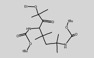 CCOC(C)(C)C(=O)C(NC(=O)OC(C)(C)C)C(C)(C)CC(C)(C)NC(=O)OC(C)(C)C